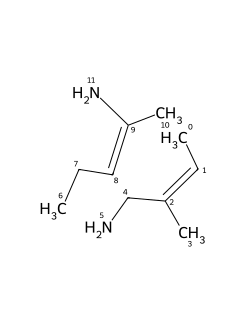 CC=C(C)CN.CCC=C(C)N